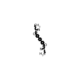 CCCC[C@H](C#N)COC(=O)c1ccc(-c2ccc(-c3ccc(C(=O)OC[C@@H](C#N)CCCC)cc3)cc2)cc1